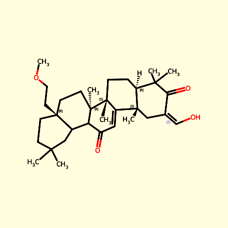 COCC[C@]12CCC(C)(C)CC1C1C(=O)C=C3[C@@]4(C)C/C(=C/O)C(=O)C(C)(C)[C@@H]4CC[C@@]3(C)[C@]1(C)CC2